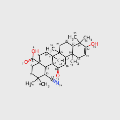 CC1(C)CCC2(C(=O)O)CCC3(C)C(C(=O)CC4C5(C)CC=C(O)C(C)(C)C5CCC43C)C2C1C#N